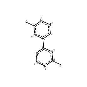 Cc1nncc(-c2cnnc(C)n2)n1